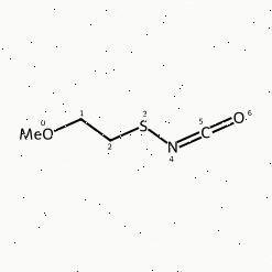 COCCSN=C=O